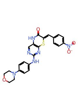 O=C1Nc2cnc(Nc3ccc(N4CCOCC4)cc3)nc2S/C1=C\c1ccc([N+](=O)[O-])cc1